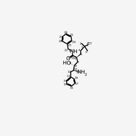 CC(C)(F)CC[C@@H](C[C@@H](O)[C@@H](N)Cc1ccccc1)C(=O)NCc1ccccc1